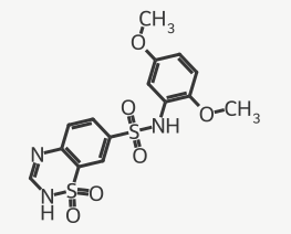 COc1ccc(OC)c(NS(=O)(=O)c2ccc3c(c2)S(=O)(=O)NC=N3)c1